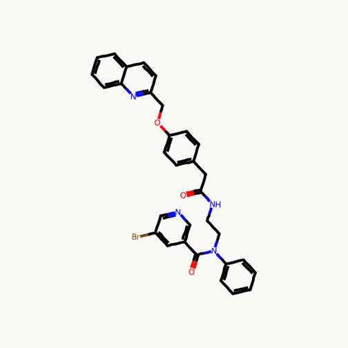 O=C(Cc1ccc(OCc2ccc3ccccc3n2)cc1)NCCN(C(=O)c1cncc(Br)c1)c1ccccc1